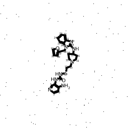 Nc1ccncc1NC(=O)NSCCN1CCC(Nc2nc3ccccc3n2Cc2ccco2)CC1